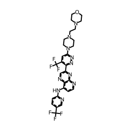 FC(F)(F)c1ccc(Nc2ccnc3nc(-c4nnc(N5CCN(CCN6CCOCC6)CC5)cc4C(F)(F)F)cnc23)nc1